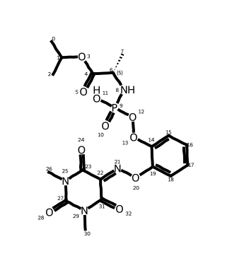 CC(C)OC(=O)[C@H](C)NP(=O)(O)OOc1ccccc1ON=C1C(=O)N(C)C(=O)N(C)C1=O